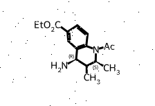 CCOC(=O)c1ccc2c(c1)[C@H](N)C(C)[C@H](C)N2C(C)=O